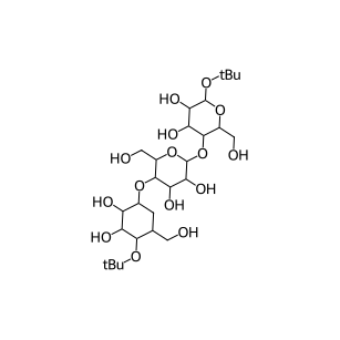 CC(C)(C)OC1OC(CO)C(OC2OC(CO)C(OC3CC(CO)C(OC(C)(C)C)C(O)C3O)C(O)C2O)C(O)C1O